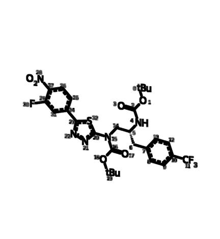 CC(C)(C)OC(=O)N[C@H](Cc1ccc(C(F)(F)F)cc1)CN(C(=O)OC(C)(C)C)c1nnc(-c2ccc([N+](=O)[O-])c(F)c2)s1